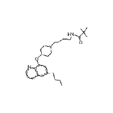 CCCCc1cc(OC2CCN(CCCCNC(=O)C(C)(C)C)CC2)c2ncccc2c1